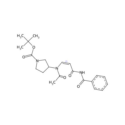 CC(=O)N(/C=C\C(=O)NC(=O)c1ccccc1)C1CCN(C(=O)OC(C)(C)C)C1